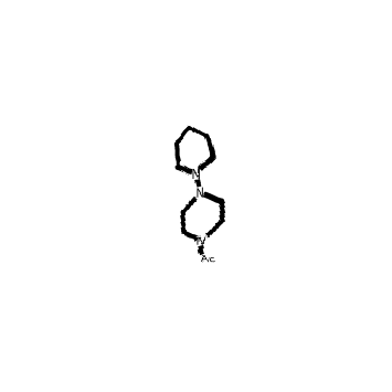 CC(=O)N1CCN(N2CCCCC2)CC1